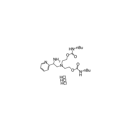 CCCCNC(=O)OCCN(CCOC(=O)NCCCC)CC(N)c1ccccn1.Cl.Cl.Cl